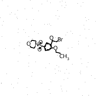 CCCOc1ccc(S(=O)(=O)N2CCOCC2)cc1C(=O)CBr